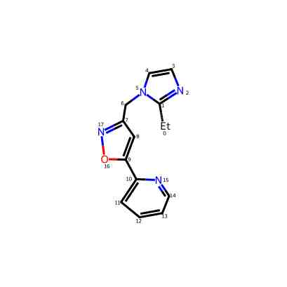 CCc1nccn1Cc1cc(-c2ccccn2)on1